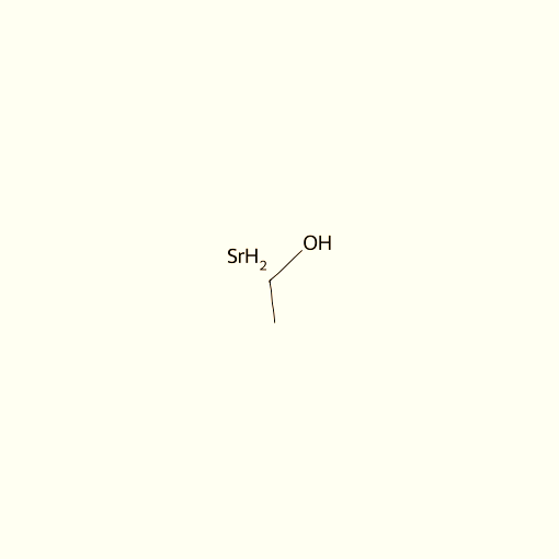 CCO.[SrH2]